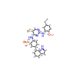 CCc1ccc(OC)c(Nc2ncc(Br)c(Nc3ccc(-c4cccc5cc[nH]c45)cc3P(C)(C)=O)n2)c1